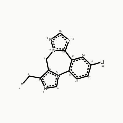 FCc1ncn2c1Cn1ncnc1-c1cc(Cl)ccc1-2